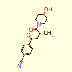 CC(CC(=O)c1ccc(C#N)cc1)C(=O)N1CCC(O)CC1